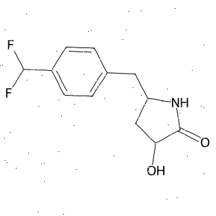 O=C1NC(Cc2ccc(C(F)F)cc2)CC1O